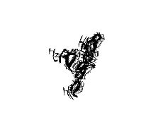 Nc1c(Cl)cc(C[C@@H](CC(=O)N2CCC(N3CCc4ccccc4NC3=O)CC2)C(=O)N2CCC(C3CCNCC3)CC2)cc1C(F)(F)F